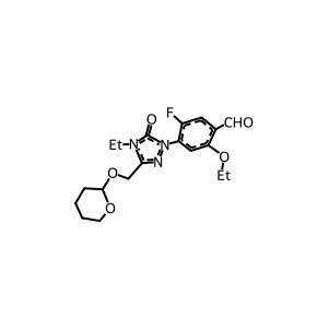 CCOc1cc(-n2nc(COC3CCCCO3)n(CC)c2=O)c(F)cc1C=O